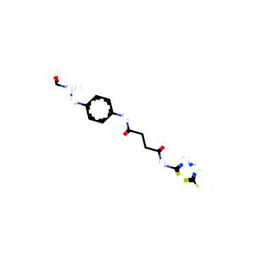 O=CNNc1ccc(NC(=O)CCC(=O)Nc2nnc(S)s2)cc1